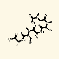 CCCC(=O)N(C)CC(=O)N(C)[C@H](C(=O)N[C@H](C(=O)N(C)[C@@H](CC(C)C)C(=O)N[C@H](C)C(N)=O)C(C)C)C(C)C